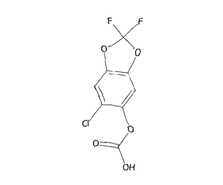 O=C(O)Oc1cc2c(cc1Cl)OC(F)(F)O2